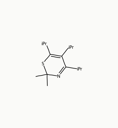 CC(C)C1=NC(C)(C)SC(C(C)C)=C1C(C)C